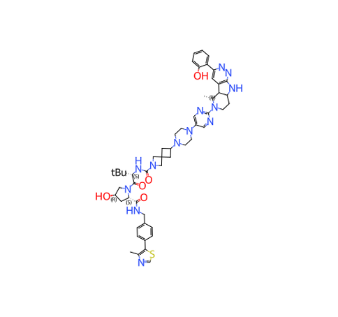 Cc1ncsc1-c1ccc(CNC(=O)[C@@H]2C[C@@H](O)CN2C(=O)[C@@H](NC(=O)N2CC3(CC(N4CCN(c5cnc(N6CCC7Nc8nnc(-c9ccccc9O)cc8C7[C@H]6C)nc5)CC4)C3)C2)C(C)(C)C)cc1